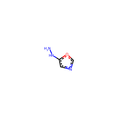 NNc1cnco1